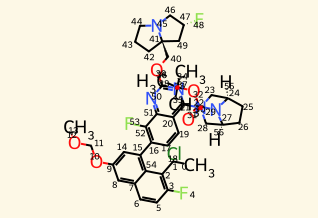 CCc1c(F)ccc2cc(OCOC)cc(-c3c(Cl)cc4c(N5C[C@H]6CC[C@@H](C5)N6C(=O)OC(C)(C)C)nc(OC[C@@]56CCCN5C[C@H](F)C6)nc4c3F)c12